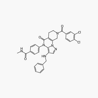 CNC(=O)c1ccc(-n2c(=O)c3c(n4ncc(NCc5ccccc5)c24)CN(C(=O)c2ccc(Cl)c(Cl)c2)CC3)cc1